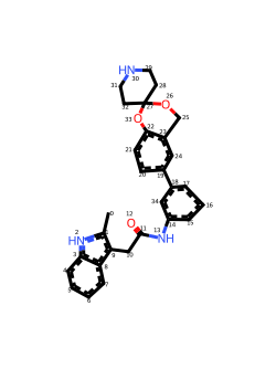 Cc1[nH]c2ccccc2c1CC(=O)Nc1cccc(-c2ccc3c(c2)COC2(CCNCC2)O3)c1